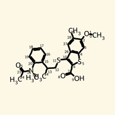 COc1cc2sc(C(=O)O)c(SCC(C)c3ccccc3N(C)C(C)=O)c2cc1C